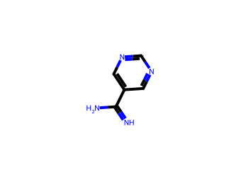 N=C(N)c1cn[c]nc1